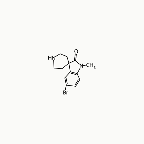 CN1C(=O)C2(CCNCC2)c2cc(Br)ccc21